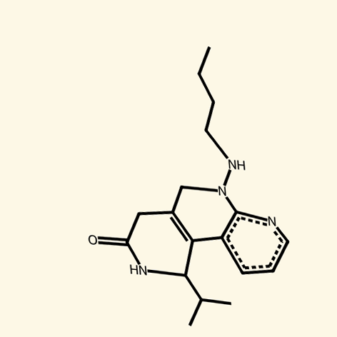 CCCCNN1CC2=C(c3cccnc31)C(C(C)C)NC(=O)C2